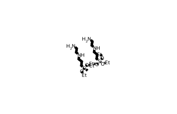 CCO[Si](C)(CCCNCCN)OCC.CCO[Si](CCCNCCN)(OCC)OCC